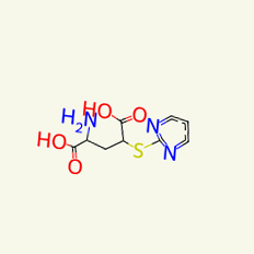 NC(CC(Sc1ncccn1)C(=O)O)C(=O)O